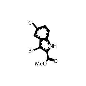 COC(=O)c1[nH]c2ccc(Cl)cc2c1Br